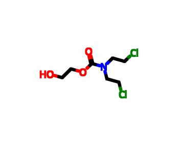 O=C(OCCO)N(CCCl)CCCl